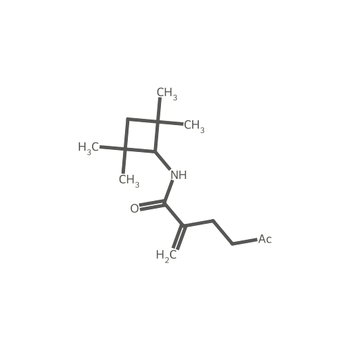 C=C(CCC(C)=O)C(=O)NC1C(C)(C)CC1(C)C